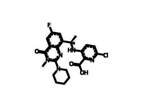 C[C@@H](Nc1ccc(Cl)nc1C(=O)O)c1cc(F)cc2c(=O)n(C)c(N3CCCCC3)nc12